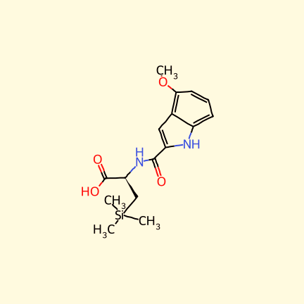 COc1cccc2[nH]c(C(=O)N[C@@H](C[Si](C)(C)C)C(=O)O)cc12